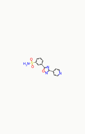 NS(=O)(=O)c1cccc(-c2nc(-c3ccncc3)no2)c1